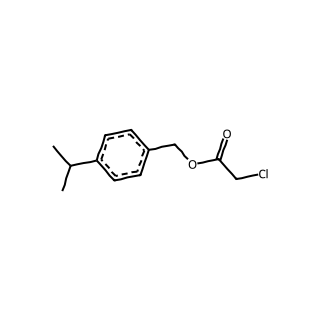 CC(C)c1ccc(COC(=O)CCl)cc1